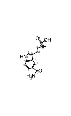 NC(=O)c1ccc2[nH]cc(CCNC(=O)O)c2c1